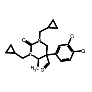 CC1N(CC2CC2)C(=O)N(CC2CC2)CC1(C=O)c1ccc(Cl)c(Cl)c1